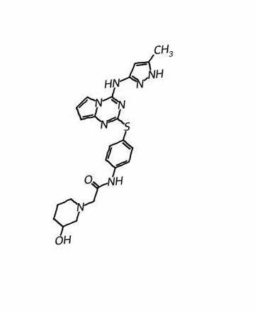 Cc1cc(Nc2nc(Sc3ccc(NC(=O)CN4CCCC(O)C4)cc3)nc3cccn23)n[nH]1